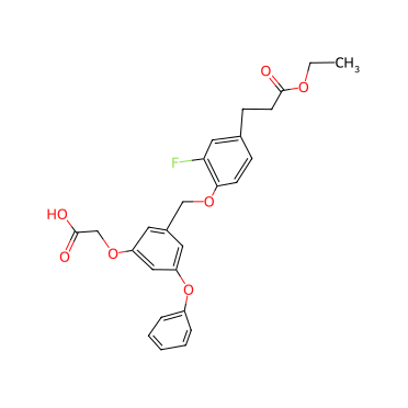 CCOC(=O)CCc1ccc(OCc2cc(OCC(=O)O)cc(Oc3ccccc3)c2)c(F)c1